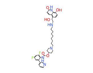 O=C(Nc1c(F)cc(F)cc1-c1cccnc1)OC1CCN(CCCCCCCCCNC[C@H](O)c2ccc(O)c3[nH]c(=O)ccc23)CC1